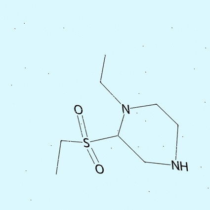 CCN1CCNCC1S(=O)(=O)CC